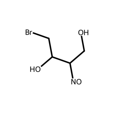 O=NC(CO)C(O)CBr